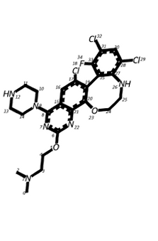 CN(C)CCOc1nc(N2CCNCC2)c2cc(Cl)c3c(c2n1)OCCNc1c(Cl)cc(Cl)c(F)c1-3